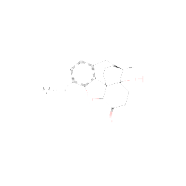 COc1ccc2c3c1OC1C(=O)CCC4(O)[C@H](CCCC314)C2